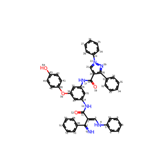 N=C(/C(=C\Nc1ccccc1)C(=O)Nc1cc(NC(=O)c2cn(-c3ccccc3)nc2-c2ccccc2)cc(Oc2ccc(O)cc2)c1)c1ccccc1